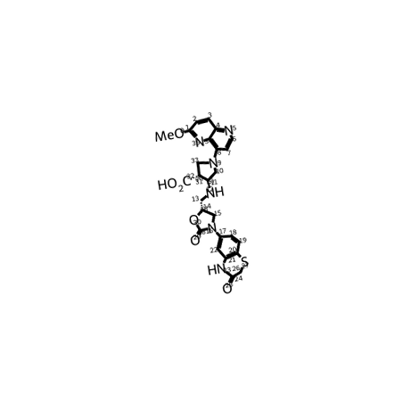 COc1ccc2nccc(N3C[C@@H](NC[C@@H]4CN(c5ccc6c(c5)NC(=O)CS6)C(=O)O4)[C@H](C(=O)O)C3)c2n1